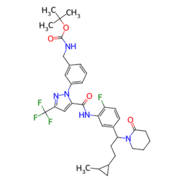 CC1CC1CCC(c1ccc(F)c(NC(=O)c2cc(C(F)(F)F)nn2-c2cccc(CNC(=O)OC(C)(C)C)c2)c1)N1CCCCC1=O